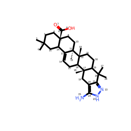 CC1(C)CC[C@]2(C(=O)O)CC[C@]3(C)C(=CCC4[C@@]5(C)Cc6c(n[nH]c6N)C(C)(C)C5CC[C@]43C)C2C1